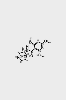 COc1cc(OC)c(C(=O)N[C@@H]2CN3CCC2CC3)c(OC)c1